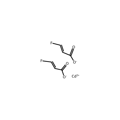 O=C([O-])C=CF.O=C([O-])C=CF.[Cd+2]